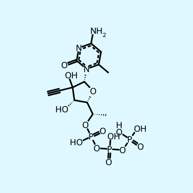 C#CC1(O)[C@@H](O)[C@@H]([C@H](C)OP(=O)(O)OP(=O)(O)OP(=O)(O)O)O[C@H]1n1c(C)cc(N)nc1=O